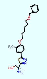 C[C@](N)(CO)c1nnc(-c2ccc(OCCCCCCOCc3ccccc3)c(C(F)(F)F)c2)s1